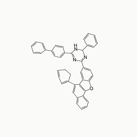 C1=CCCC(c2cc3ccccc3c3oc4ccc(C5=NC(c6ccccc6)NC(c6ccc(-c7ccccc7)cc6)=N5)cc4c23)=C1